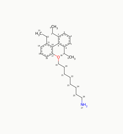 CCc1cccc(CC)c1-c1c(CC)cccc1OCCCCCCCCN